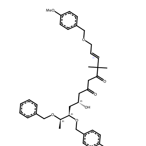 COc1ccc(COC/C=C/C(C)(C)C(=O)CC(=O)C[C@H](O)C[C@@H](OCc2ccc(OC)cc2)[C@@H](C)OCc2ccccc2)cc1